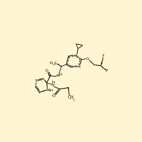 CCC(=O)NC1(C(=O)NC(C)c2cnc(OCC(F)F)c(C3CC3)c2)C=NC=CN1